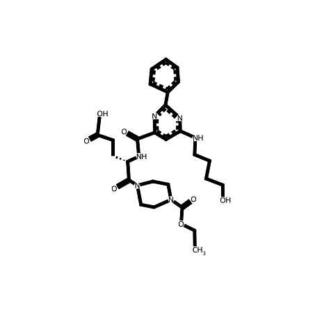 CCOC(=O)N1CCN(C(=O)[C@H](CCC(=O)O)NC(=O)c2cc(NCCCCO)nc(-c3ccccc3)n2)CC1